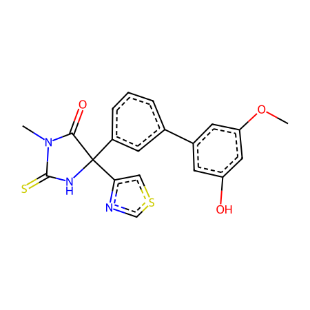 COc1cc(O)cc(-c2cccc(C3(c4cscn4)NC(=S)N(C)C3=O)c2)c1